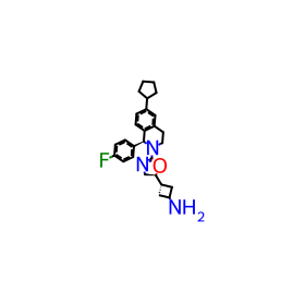 N[C@H]1C[C@H]([C@H]2CN=C(N3CCc4cc(C5CCCC5)ccc4[C@@H]3c3ccc(F)cc3)O2)C1